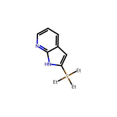 CCS(CC)(CC)c1cc2cccnc2[nH]1